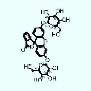 O=C1OC2(c3ccc(O[C@H]4O[C@H](CO)[C@H](O)[C@H](O)[C@H]4O)cc3Oc3cc(O[C@H]4O[C@H](CO)[C@H](O)[C@H](O)[C@H]4O)ccc32)c2ccccc21